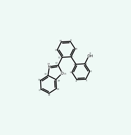 Oc1ccccc1-c1ccccc1-c1nc2ccccc2o1